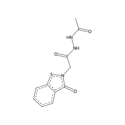 CC(=O)NNC(=O)Cn1sc2ccccc2c1=O